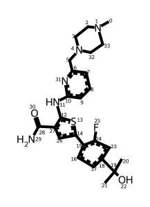 CN1CCN(Cc2cccc(Nc3sc(-c4ccc(C(C)(C)O)cc4F)cc3C(N)=O)n2)CC1